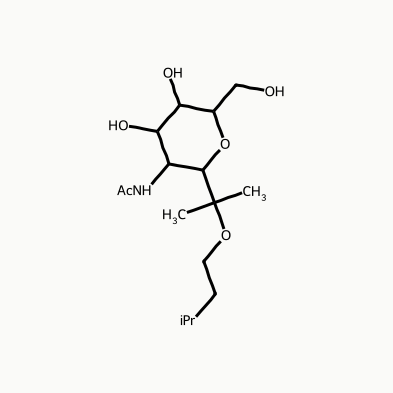 CC(=O)NC1C(O)C(O)C(CO)OC1C(C)(C)OCCC(C)C